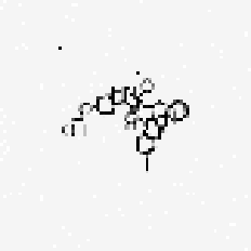 O=C(Nc1ccc(I)cc1F)C(Cc1ccccn1)N1C(=O)NC(c2ccc(OCCO)cc2)C1=O